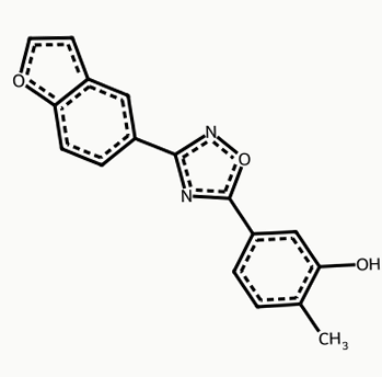 Cc1ccc(-c2nc(-c3ccc4occc4c3)no2)cc1O